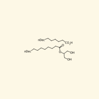 CCCCCCCCCCCCCCCC(=O)O.CCCCCCCCCCCCCCCCCC(=O)OC(CO)CO